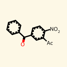 CC(=O)c1cc(C(=O)c2ccccc2)ccc1[N+](=O)[O-]